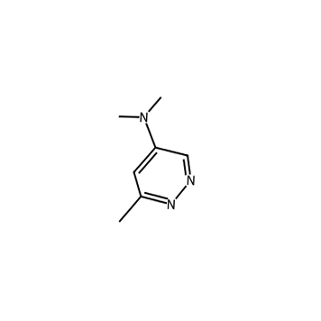 Cc1cc(N(C)C)cnn1